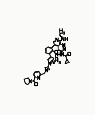 CNc1ncc(-c2cccc(-c3cnn(C4CN(Cc5cccc(C(=O)N6CCCC6)n5)C4)c3)c2OC)c2cc(NC(=O)C3CC3)nnc12